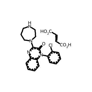 O=C(O)C=CC(=O)O.O=c1c(N2CCCNCC2)nc2ccccc2n1-c1ccccc1Cl